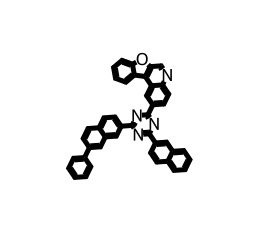 c1ccc(-c2ccc3ccc(-c4nc(-c5ccc6ccccc6c5)nc(-c5ccc6ncc7oc8ccccc8c7c6c5)n4)cc3c2)cc1